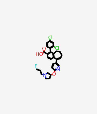 O=C(O)c1ccc2c(c1-c1ccc(Cl)cc1Cl)CCCC=C2c1ccc(O[C@H]2CCN(CCCF)C2)nc1